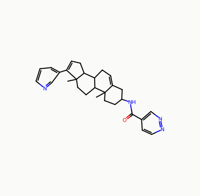 CC12CCC(NC(=O)c3ccnnc3)CC1=CCC1C2CCC2(C)C(c3cccnc3)=CCC12